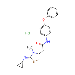 CN1C(=NC2CC2)SCC1CC(=O)Nc1ccc(Oc2ccccc2)cc1.Cl